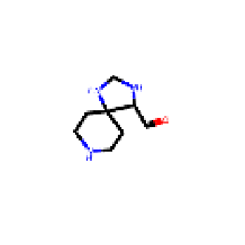 O=CC1NCNC12CCNCC2